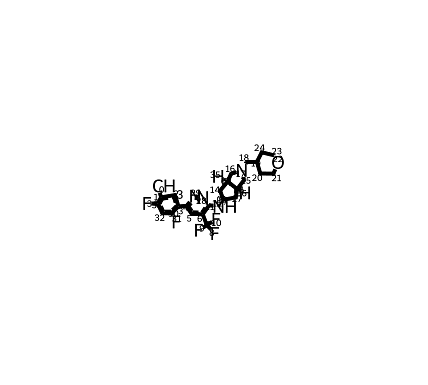 Cc1cc(-c2cc(C(F)(F)F)c(N[C@H]3C[C@@H]4CN(CC5CCOCC5)C[C@@H]4C3)nn2)c(F)cc1F